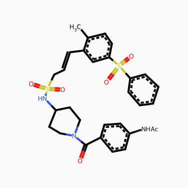 CC(=O)Nc1ccc(C(=O)N2CCC(NS(=O)(=O)CC=Cc3cc(S(=O)(=O)c4ccccc4)ccc3C)CC2)cc1